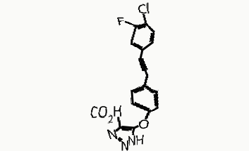 O=C(O)c1nn[nH]c1Oc1ccc(C#Cc2ccc(Cl)c(F)c2)cc1